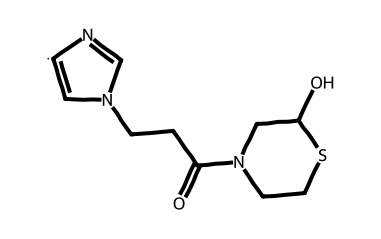 O=C(CCn1c[c]nc1)N1CCSC(O)C1